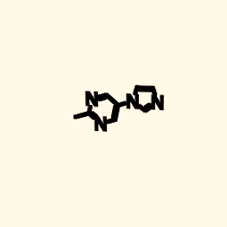 Cc1ncc(-n2ccnc2)cn1